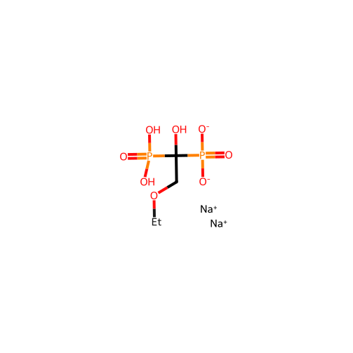 CCOCC(O)(P(=O)([O-])[O-])P(=O)(O)O.[Na+].[Na+]